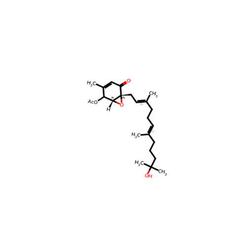 CC(=O)OC1C(C)=CC(=O)[C@]2(C/C=C(\C)CC/C=C(\C)CCCC(C)(C)O)O[C@H]12